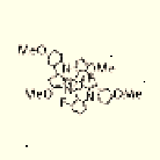 COc1ccc2c(c1)c1cc(OC)ccc1n2-c1cccc(F)c1-c1nnc(-c2c(F)cccc2-n2c3ccc(OC)cc3c3cc(OC)ccc32)o1